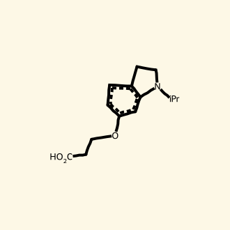 CC(C)N1CCc2ccc(OCCC(=O)O)cc21